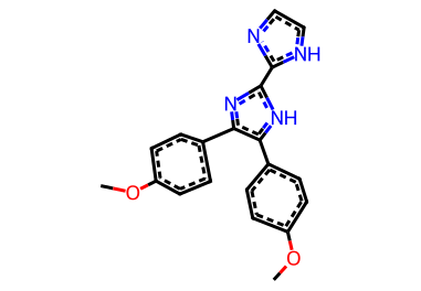 COc1ccc(-c2nc(-c3ncc[nH]3)[nH]c2-c2ccc(OC)cc2)cc1